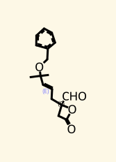 CC(C)(/C=C/C[C@@]1(C=O)CC(=O)O1)OCc1ccccc1